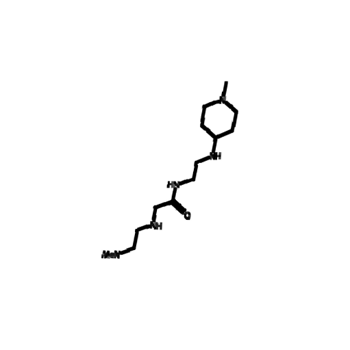 CNCCNCC(=O)NCCNC1CCN(C)CC1